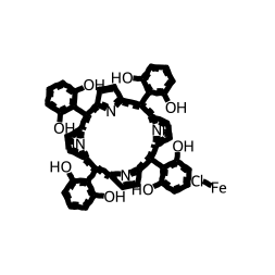 Oc1cccc(O)c1-c1c2nc(c(-c3c(O)cccc3O)c3ccc([nH]3)c(-c3c(O)cccc3O)c3nc(c(-c4c(O)cccc4O)c4ccc1[nH]4)C=C3)C=C2.[Cl][Fe]